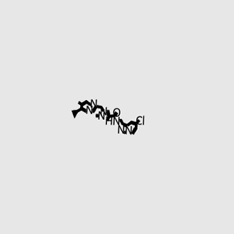 C=NN(/C=C(\C)C(=O)NCc1ncn2ccc(Cl)cc12)Cc1cn2cc(C3CC3)c(C)cc2n1